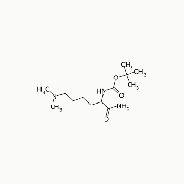 CN(C)CCCCC(NC(=O)OC(C)(C)C)C(N)=O